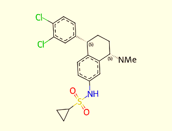 CN[C@H]1CC[C@@H](c2ccc(Cl)c(Cl)c2)c2ccc(NS(=O)(=O)C3CC3)cc21